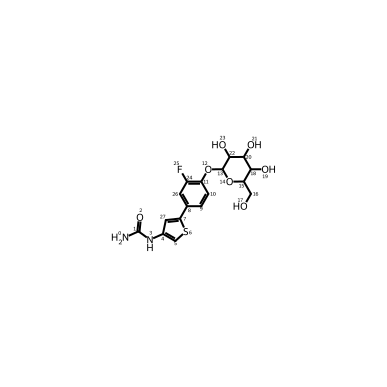 NC(=O)Nc1csc(-c2ccc(OC3OC(CO)C(O)C(O)C3O)c(F)c2)c1